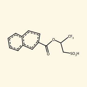 O=C(OC(CS(=O)(=O)O)C(F)(F)F)c1ccc2ccccc2c1